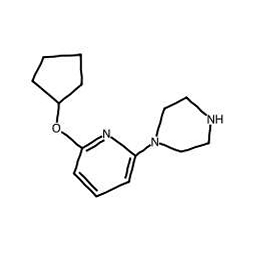 c1cc(OC2CCCC2)nc(N2CCNCC2)c1